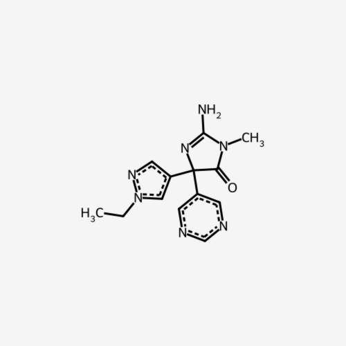 CCn1cc(C2(c3cncnc3)N=C(N)N(C)C2=O)cn1